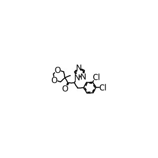 CC1(C(=O)C(Cc2ccc(Cl)c(Cl)c2)n2cncn2)COCOC1